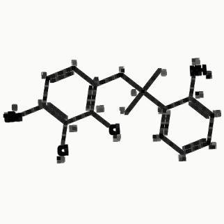 CC(C)(C)c1ccc(CC(C)(C)c2ccccc2N)c(Cl)c1Cl